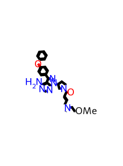 COCCN(C)CC=CC(=O)N1CCC(n2nc(-c3ccc(Oc4ccccc4)cc3)c3c(N)ncnc32)C1